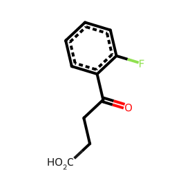 O=C(O)CCC(=O)c1ccccc1F